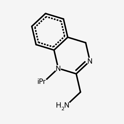 CC(C)N1C(CN)=NCc2ccccc21